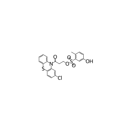 Cc1ccc(O)cc1S(=O)(=O)OCCC(=O)N1c2ccccc2Sc2ccc(Cl)cc21